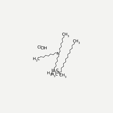 CCCCCCCCCCCCCC[N+](C)(C)C.CCCCCCCCN(CCCCCCCC)CCCCCCCC.Cl.[Cl-]